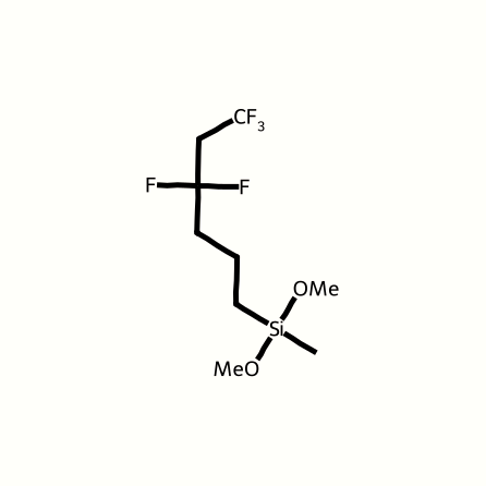 CO[Si](C)(CCCC(F)(F)CC(F)(F)F)OC